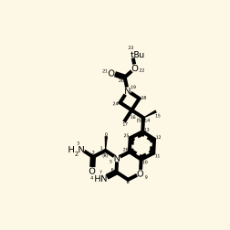 C[C@H](C(N)=O)N1C(=N)COc2ccc([C@H](C)C3(C)CN(C(=O)OC(C)(C)C)C3)cc21